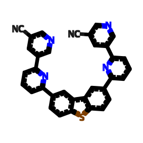 N#Cc1cncc(-c2cccc(-c3ccc4sc5ccc(-c6cccc(-c7cncc(C#N)c7)n6)cc5c4c3)n2)c1